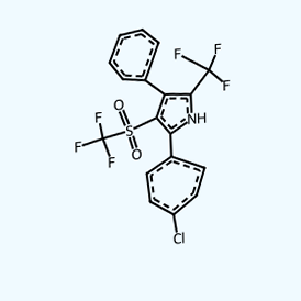 O=S(=O)(c1c(-c2ccc(Cl)cc2)[nH]c(C(F)(F)F)c1-c1ccccc1)C(F)(F)F